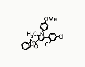 COc1ccc(-n2c(-c3ccc(Cl)cc3Cl)cc(C(=O)Nc3ccccc3)c2C)cc1